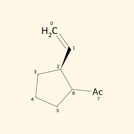 C=C[C@@H]1CCCC1C(C)=O